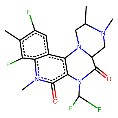 Cc1c(F)cc2c3c(c(=O)n(C)c2c1F)N(C(F)F)C(=O)C1CN(C)C(C)CN31